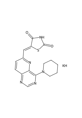 O=C1NC(=O)C(=Cc2ccc3ncnc(N4CCCCC4)c3n2)S1.[KH]